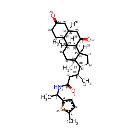 Cc1ccc(C(C)NC(=O)C[C@@H](C)[C@H]2CC[C@H]3[C@@H]4C(=O)C[C@@H]5CC(=O)CC[C@]5(C)[C@H]4CC[C@]23C)s1